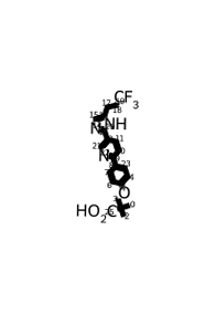 CC(C)(COc1ccc(-c2ccc(-c3ncc(CCC(F)(F)F)[nH]3)cn2)cc1)C(=O)O